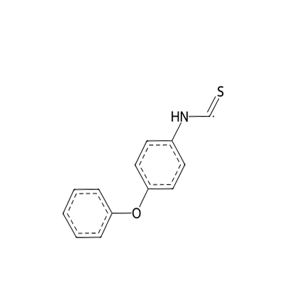 S=[C]Nc1ccc(Oc2ccccc2)cc1